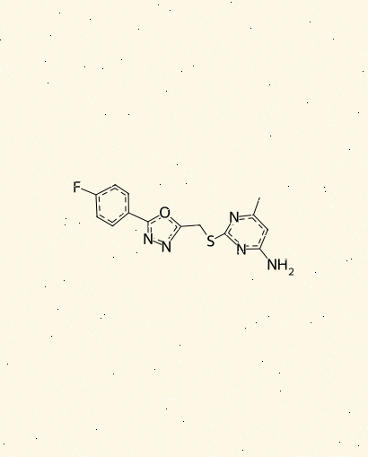 Cc1cc(N)nc(SCc2nnc(-c3ccc(F)cc3)o2)n1